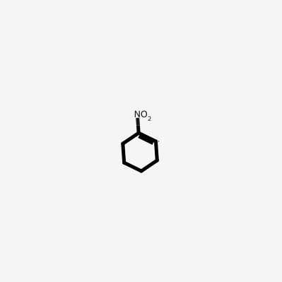 O=[N+]([O-])C1=[C]CCCC1